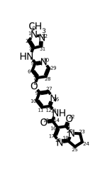 Cn1cc(Nc2cc(Oc3ccc(NC(=O)c4cnc5n(c4=O)CCC5)nc3)ccn2)cn1